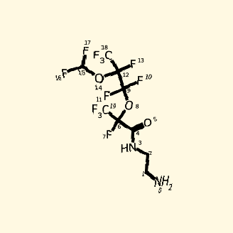 NCCNC(=O)C(F)(OC(F)(F)C(F)(OC(F)F)C(F)(F)F)C(F)(F)F